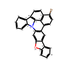 Brc1ccc2c3cc4c(cc3n3c5ccccc5c5ccc1c2c53)oc1ccccc14